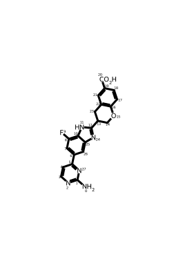 Nc1nccc(-c2cc(F)c3[nH]c(C4COc5ccc(C(=O)O)cc5C4)nc3c2)n1